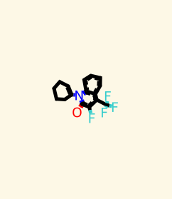 O=c1c(F)c(C(F)(F)F)c2ccccc2n1C1=CCCCC1